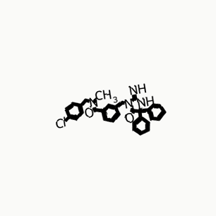 CN(Cc1ccc(Cl)cc1)C(=O)c1cccc(CN2C(=N)NC(c3ccccc3)(c3ccccc3)C2=O)c1